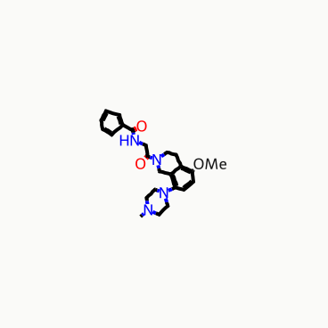 COc1ccc(N2CCN(C)CC2)c2c1CCN(C(=O)CNC(=O)c1ccccc1)C2